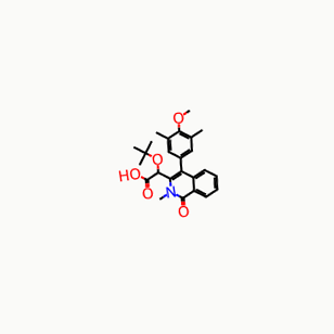 COc1c(C)cc(-c2c(C(OC(C)(C)C)C(=O)O)n(C)c(=O)c3ccccc23)cc1C